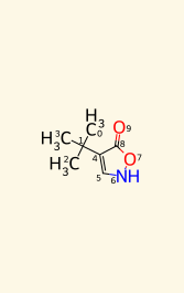 CC(C)(C)c1c[nH]oc1=O